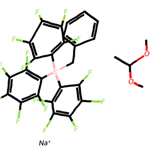 COC(C)OC.Fc1c(F)c(F)c([B-](Cc2ccccc2)(c2c(F)c(F)c(F)c(F)c2F)c2c(F)c(F)c(F)c(F)c2F)c(F)c1F.[Na+]